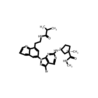 CNC(=O)[C@]1(C)CC[C@@H](Nc2ncc3c(Br)nn(-c4cc(CCNC(=O)C(C)C)c5ncccc5c4)c3n2)C1